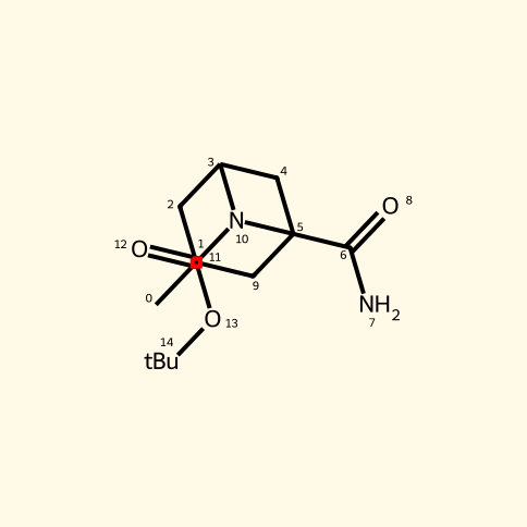 CC1CC2CC(C(N)=O)(C1)N2C(=O)OC(C)(C)C